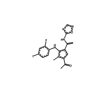 C=C(Nc1ncno1)c1cc(C(C)=O)n(C)c1Nc1ccc(I)cc1F